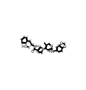 Cc1cnc(Nc2ccc3c(c2)OCO3)cc1-n1ccc(C(=O)N[C@H](CO)Cc2ccccc2)c1